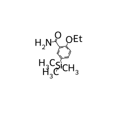 CCOc1ccc([Si](C)(C)C)cc1C(N)=O